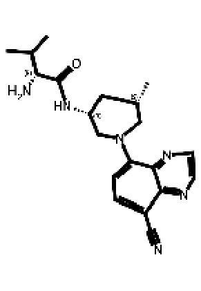 CC(C)[C@@H](N)C(=O)N[C@@H]1C[C@H](C)CN(c2ccc(C#N)c3nccnc23)C1